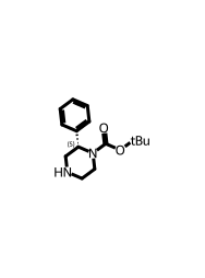 CC(C)(C)OC(=O)N1CCNC[C@@H]1c1ccccc1